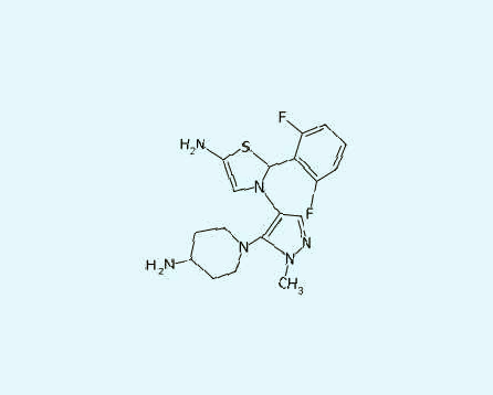 Cn1ncc(N2C=C(N)SC2c2c(F)cccc2F)c1N1CCC(N)CC1